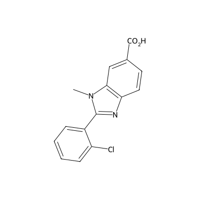 Cn1c(-c2ccccc2Cl)nc2ccc(C(=O)O)cc21